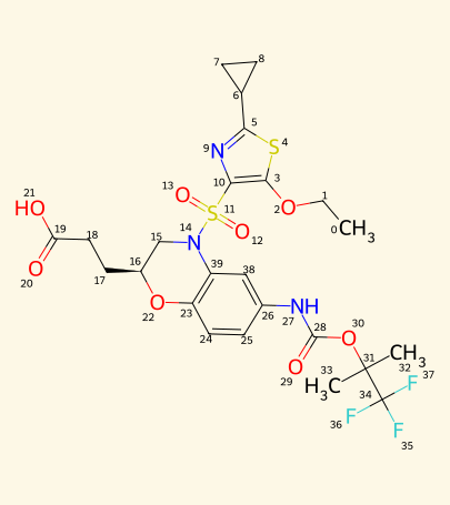 CCOc1sc(C2CC2)nc1S(=O)(=O)N1C[C@H](CCC(=O)O)Oc2ccc(NC(=O)OC(C)(C)C(F)(F)F)cc21